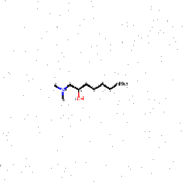 CCCCCCCCCCC(O)CN(C)C